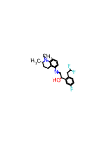 C[C@H]1CCc2c(/N=C/C(O)c3cc(F)ccc3CC(F)F)cccc2N1C